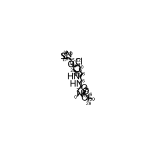 CN(CC(=O)NCc1cc2cc(Cl)c(OCc3cscn3)cc2[nH]1)C(=O)OC(C)(C)C